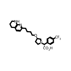 O=C(O)[C@@H](c1ccc(C(F)(F)F)cc1)N1CC[C@@H](OCCCCc2ccc3c(n2)NCCC3)C1